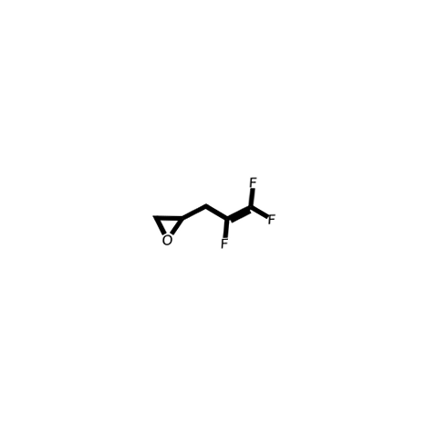 FC(F)=C(F)CC1CO1